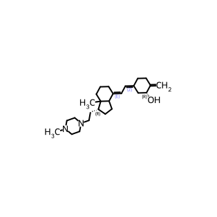 C=C1CC/C(=C/C=C2\CCCC3(C)C2CC[C@@H]3CCN2CCN(C)CC2)C[C@H]1O